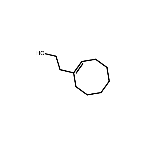 OCCC1=CCCCCCC1